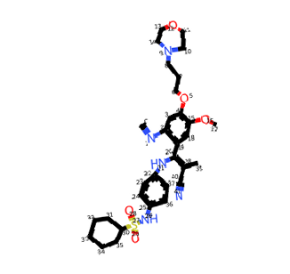 C=Nc1cc(OCCCN2CCOCC2)c(OC)cc1/C(Nc1ccc(NS(=O)(=O)C2CCCCC2)cc1)=C(\C)C#N